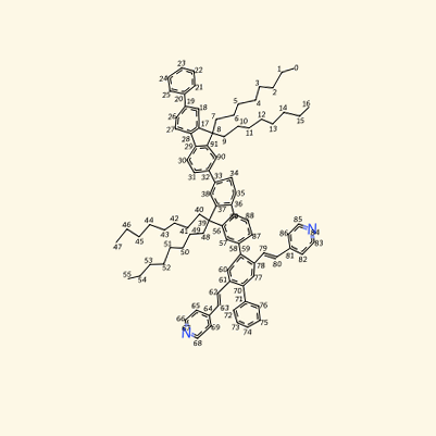 CCCCCCCCC1(CCCCCCCC)c2cc(-c3ccccc3)ccc2-c2ccc(-c3ccc4c(c3)C(CCCCCCCC)(CCCCCCCC)c3cc(-c5cc(/C=C/c6ccncc6)c(-c6ccccc6)cc5/C=C/c5ccncc5)ccc3-4)cc21